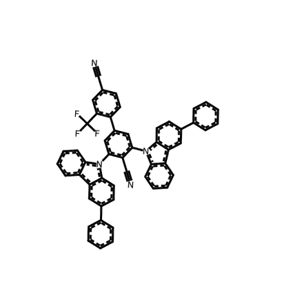 N#Cc1ccc(-c2cc(-n3c4ccccc4c4cc(-c5ccccc5)ccc43)c(C#N)c(-n3c4ccccc4c4cc(-c5ccccc5)ccc43)c2)c(C(F)(F)F)c1